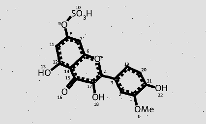 COc1cc(-c2oc3cc(OS(=O)(=O)O)cc(O)c3c(=O)c2O)ccc1O